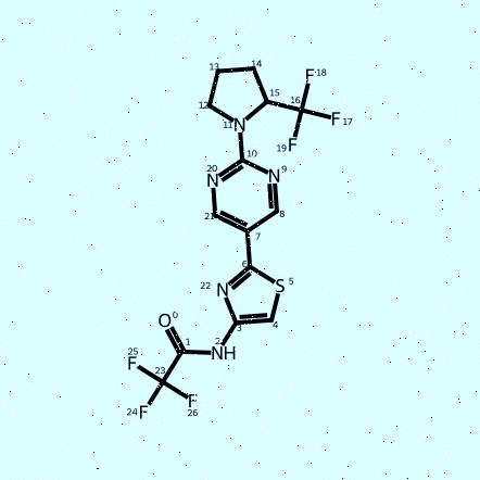 O=C(Nc1csc(-c2cnc(N3CCCC3C(F)(F)F)nc2)n1)C(F)(F)F